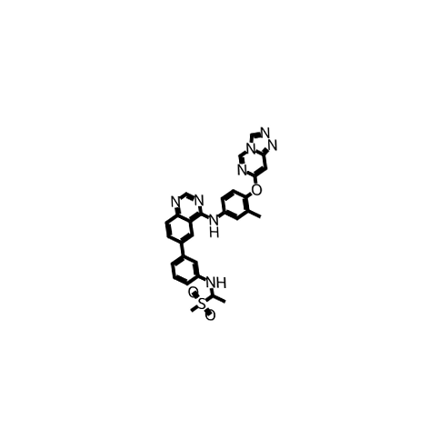 Cc1cc(Nc2ncnc3ccc(-c4cccc(NC(C)S(C)(=O)=O)c4)cc23)ccc1Oc1cc2nncn2cn1